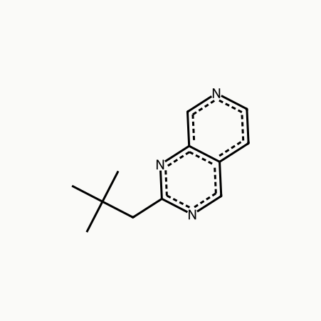 CC(C)(C)Cc1ncc2ccncc2n1